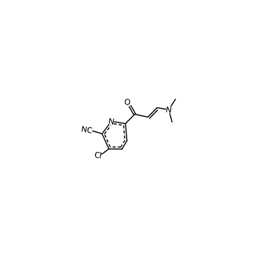 CN(C)/C=C/C(=O)c1ccc(Cl)c(C#N)n1